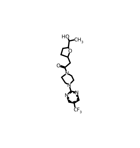 CC(O)C1CCC(CC(=O)N2CCN(c3ncc(C(F)(F)F)cn3)CC2)O1